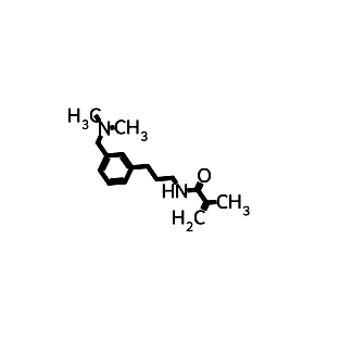 C=C(C)C(=O)NCCCc1cccc(CN(C)C)c1